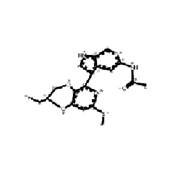 CSc1cc2c(c(-c3c[nH]c4cnc(NC(C)=O)cc34)n1)OCC(CF)O2